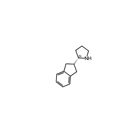 c1ccc2c(c1)CC([C@@H]1CCCN1)C2